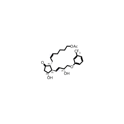 CC(=O)OCCCC/C=C\C[C@H]1C(=O)C[C@@H](O)[C@@H]1/C=C/[C@@H](O)COc1cccc(C(F)(F)F)c1